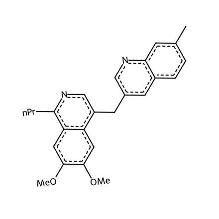 CCCc1ncc(Cc2cnc3cc(C)ccc3c2)c2cc(OC)c(OC)cc12